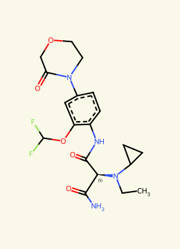 CCN(C1CC1)[C@@H](C(N)=O)C(=O)Nc1ccc(N2CCOCC2=O)cc1OC(F)F